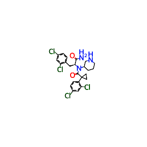 NC(=O)[C@H](Cc1ccc(Cl)cc1Cl)N(C(=O)C1(c2ccc(Cl)cc2Cl)CC1)[C@@H]1CCCNC1